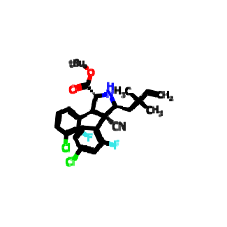 C=CC(C)(C)C[C@@H]1N[C@@H](C(=O)OC(C)(C)C)[C@H](c2cccc(Cl)c2F)[C@@]1(C#N)c1ccc(Cl)cc1F